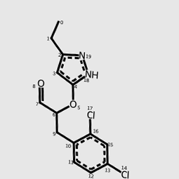 CCc1cc(OC(C=O)Cc2ccc(Cl)cc2Cl)[nH]n1